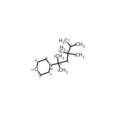 CC(C)C(C)(C)CC(C)(C)N1CCOCC1